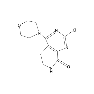 O=C1NCCc2c1nc(Cl)nc2N1CCOCC1